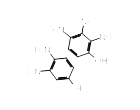 Nc1c(O)ccc([N+](=O)[O-])c1[N+](=O)[O-].Nc1ccc(O)cc1[N+](=O)[O-]